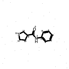 O=C(Nc1ccccc1)C1CCSC1